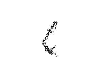 CCCCCNc1nc(N)nc2ccn(Cc3ccc(CN4CCN(C(=O)CCOCCOCCNC(=O)CCNC(=O)CCC(=O)O)CC4)cc3OC)c12